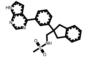 CS(=O)(=O)NCC1(c2cccc(-c3ncnc4[nH]ccc34)c2)Cc2ccccc2C1